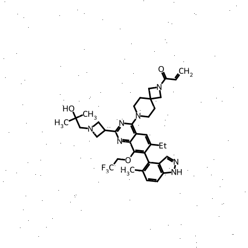 C=CC(=O)N1CC2(CCN(c3nc(C4CN(CC(C)(C)O)C4)nc4c(OCC(F)(F)F)c(-c5c(C)ccc6[nH]ncc56)c(CC)cc34)CC2)C1